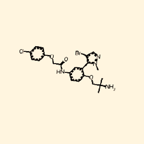 Cn1ncc(Br)c1-c1cc(NC(=O)COc2ccc(Cl)cc2)ccc1OCC(C)(C)N